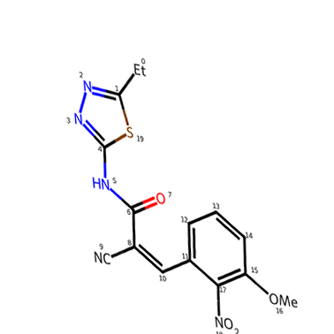 CCc1nnc(NC(=O)C(C#N)=Cc2cccc(OC)c2[N+](=O)[O-])s1